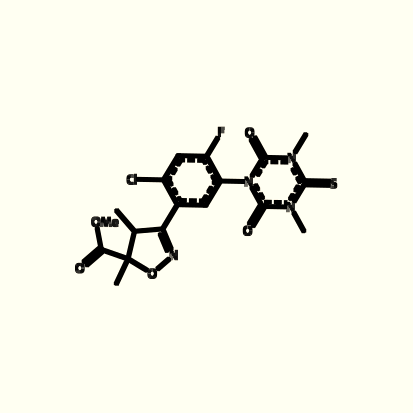 COC(=O)C1(C)ON=C(c2cc(-n3c(=O)n(C)c(=S)n(C)c3=O)c(F)cc2Cl)C1C